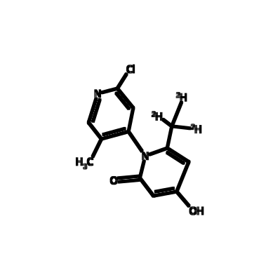 [2H]C([2H])([2H])c1cc(O)cc(=O)n1-c1cc(Cl)ncc1C